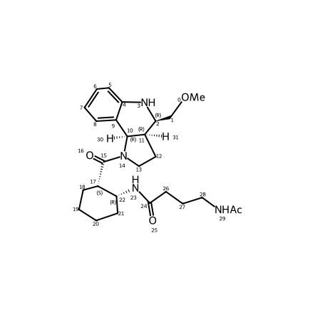 COC[C@@H]1Nc2ccccc2[C@H]2[C@@H]1CCN2C(=O)[C@H]1CCCC[C@H]1NC(=O)CCCNC(C)=O